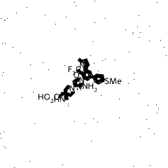 CSc1ccc(-c2ccc(C(Oc3cc(N4CCC5(CC4)CNC(C(=O)O)C5)nc(N)n3)C(F)(F)F)c(-n3ccc(C)n3)c2)cc1